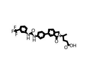 CC(CCC(=O)O)N1Cc2ccc(-c3ccc(NC(=O)Nc4cccc(C(F)(F)F)c4)cc3)cc2C1=O